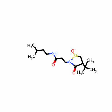 CC(C)CCNC(=O)CCN1C(=O)C(C(C)(C)C)C[S+]1[O-]